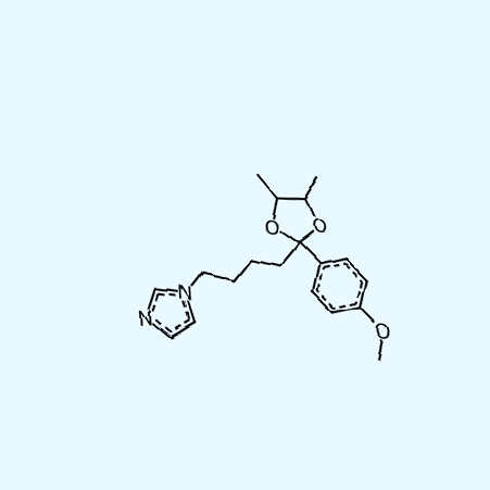 COc1ccc(C2(CCCCn3ccnc3)OC(C)C(C)O2)cc1